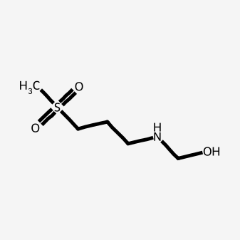 CS(=O)(=O)CCCNCO